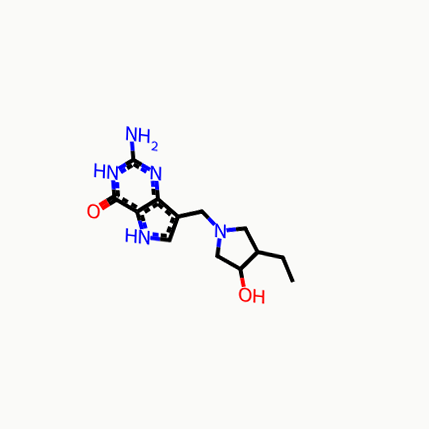 CCC1CN(Cc2c[nH]c3c(=O)[nH]c(N)nc23)CC1O